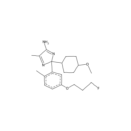 COC1CCC(C2(c3cc(OCCCF)ccc3C)N=C(C)C(N)=N2)CC1